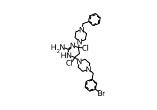 NC1=NC(Cl)(N2CCN(Cc3ccccc3)CC2)CC(Cl)(N2CCN(Cc3cccc(Br)c3)CC2)N1